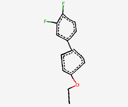 CCOc1ccc(-c2ccc(F)c(F)c2)cc1